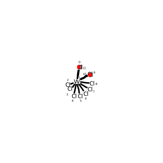 [Cl][W]([Cl])([Cl])([Cl])([Cl])([Cl])([Cl])([Cl])([Cl])([Cl])[Cl]